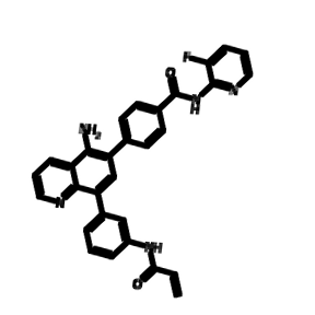 C=CC(=O)Nc1cccc(-c2cc(-c3ccc(C(=O)Nc4ncccc4F)cc3)c(N)c3cccnc23)c1